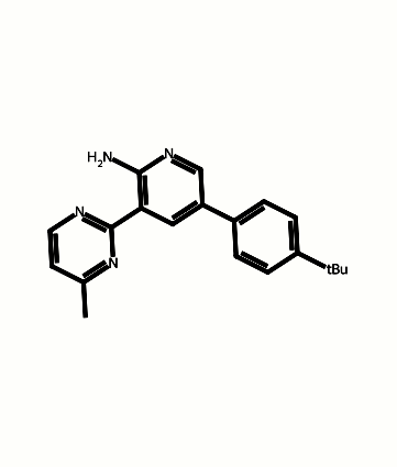 Cc1ccnc(-c2cc(-c3ccc(C(C)(C)C)cc3)cnc2N)n1